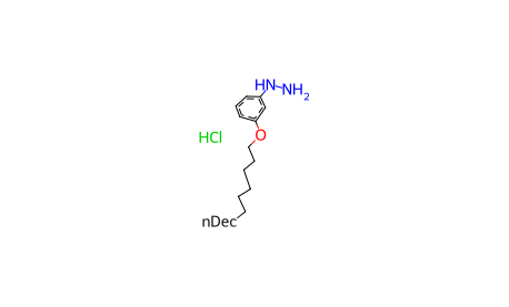 CCCCCCCCCCCCCCCCOc1cccc(NN)c1.Cl